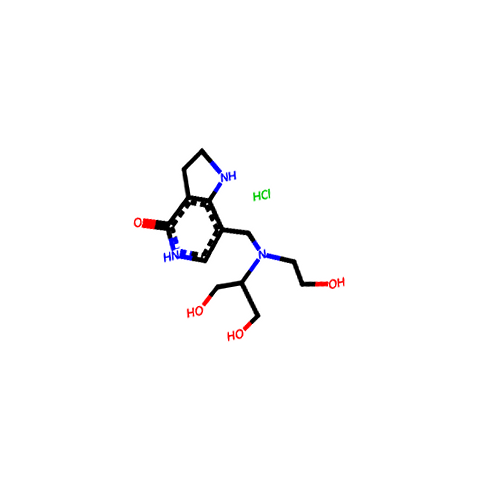 Cl.O=c1[nH]cc(CN(CCO)C(CO)CO)c2c1CCN2